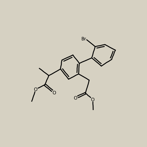 COC(=O)Cc1cc(C(C)C(=O)OC)ccc1-c1ccccc1Br